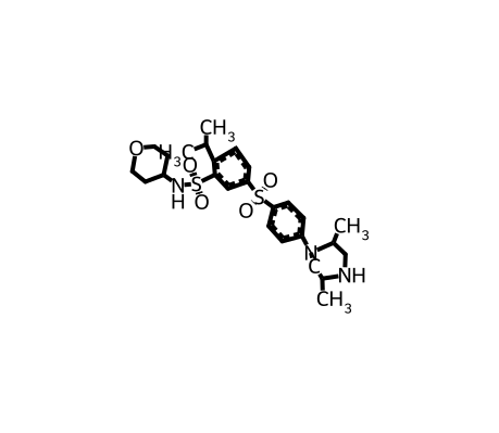 CC1CN(c2ccc(S(=O)(=O)c3ccc(C(C)C)c(S(=O)(=O)NC4CCOCC4)c3)cc2)C(C)CN1